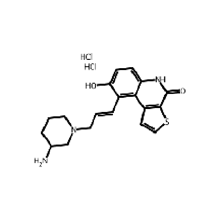 Cl.Cl.NC1CCCN(C/C=C/c2c(O)ccc3[nH]c(=O)c4sccc4c23)C1